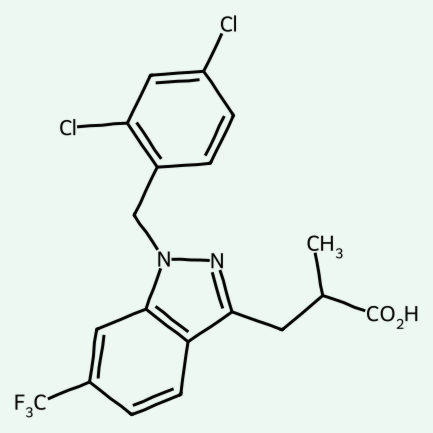 CC(Cc1nn(Cc2ccc(Cl)cc2Cl)c2cc(C(F)(F)F)ccc12)C(=O)O